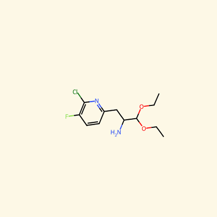 CCOC(OCC)C(N)Cc1ccc(F)c(Cl)n1